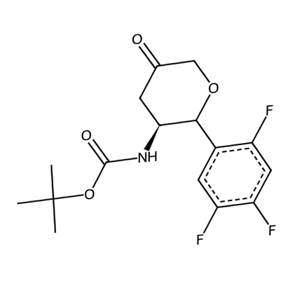 CC(C)(C)OC(=O)N[C@H]1CC(=O)COC1c1cc(F)c(F)cc1F